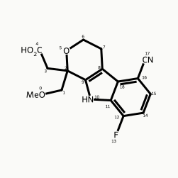 COCC1(CC(=O)O)OCCc2c1[nH]c1c(F)ccc(C#N)c21